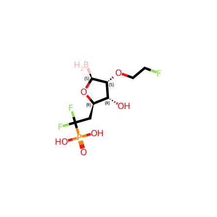 B[C@@H]1O[C@H](CC(F)(F)P(=O)(O)O)[C@@H](O)[C@H]1OCCF